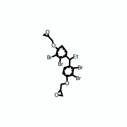 CCC(c1ccc(OCC2CO2)c(Br)c1Br)c1ccc(OCC2CO2)c(Br)c1Br